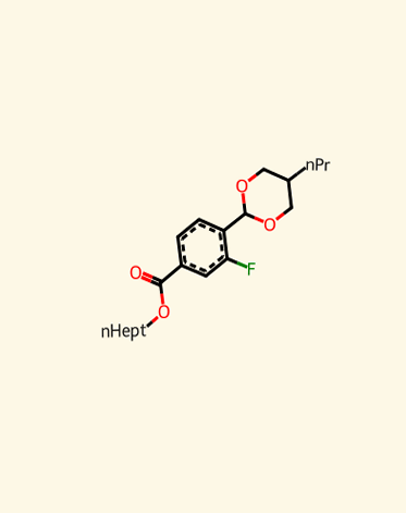 CCCCCCCOC(=O)c1ccc(C2OCC(CCC)CO2)c(F)c1